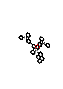 c1ccc(N(c2ccccc2-c2cc(-c3ccc4c(c3)c3ccccc3n4-c3ccccc3)cc(-c3ccc4c(c3)c3ccccc3n4-c3ccccc3)c2)c2ccc3ccc4cccc5ccc2c3c45)cc1